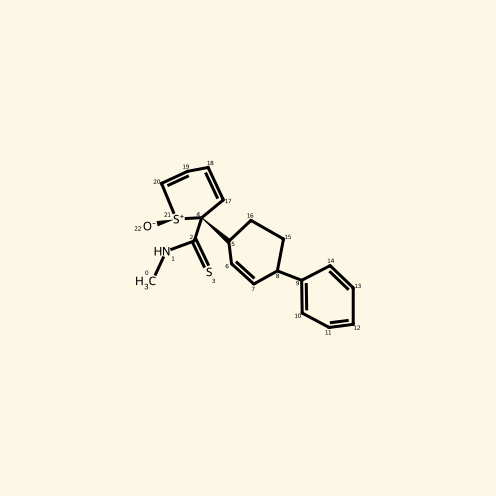 CNC(=S)[C@@]1(C2C=CC(c3ccccc3)CC2)C=CC=C[S@+]1[O-]